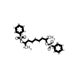 CC(CCCCCC(C)OS(=O)(=O)c1ccccc1)OS(=O)(=O)c1ccccc1